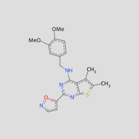 COc1ccc(CNc2nc(-c3ccno3)nc3sc(C)c(C)c23)cc1OC